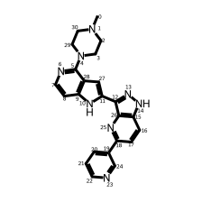 CN1CCN(c2nccc3[nH]c(-c4n[nH]c5ccc(-c6cccnc6)nc45)cc23)CC1